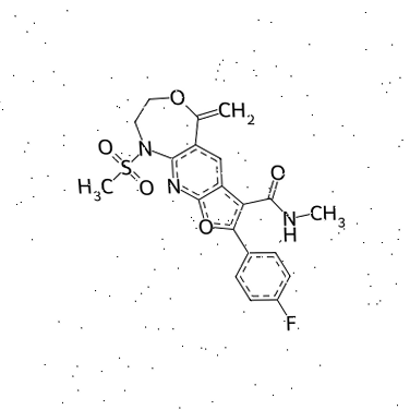 C=C1OCCN(S(C)(=O)=O)c2nc3oc(-c4ccc(F)cc4)c(C(=O)NC)c3cc21